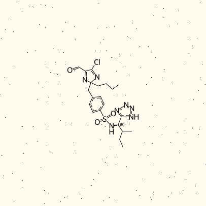 CCCCC1(Cc2ccc(S(=O)(=O)N[C@@H](c3nnn[nH]3)C(C)CC)cc2)N=C(Cl)C(C=O)=N1